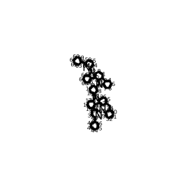 C1=CC2c3ccccc3N(c3cccc(-n4c5ccccc5c5c6c(ccc54)Cc4ccccc4N6c4cccc(-c5ccccc5)n4)c3)C2c2c1n(-c1cccc(-c3ccccc3)n1)c1ccccc21